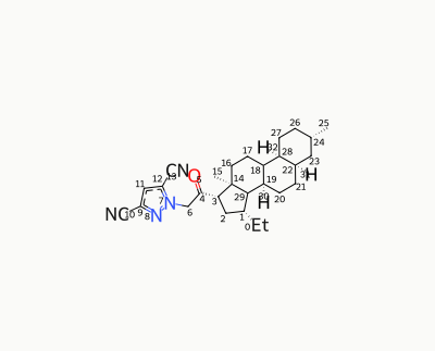 CC[C@@H]1C[C@H](C(=O)Cn2nc(C#N)cc2C#N)[C@@]2(C)CCC3[C@@H](CC[C@@H]4C[C@@H](C)CC[C@H]34)C12